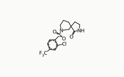 O=C1NCCC12CCCN(S(=O)(=O)c1ccc(C(F)(F)F)cc1Cl)C2